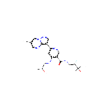 CC[C@H](O)CNc1cc(-c2cnn3cc(C#N)cnc23)ncc1C(=O)NC[C@@H](F)C(C)(C)O